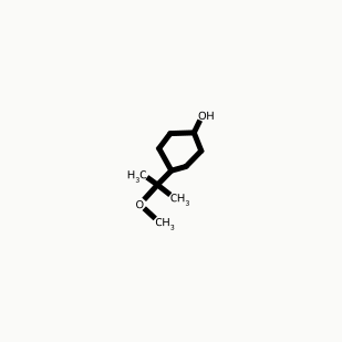 COC(C)(C)C1CCC(O)CC1